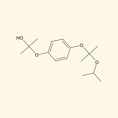 CC(C)OC(C)(C)Oc1ccc(OC(C)(C)O)cc1